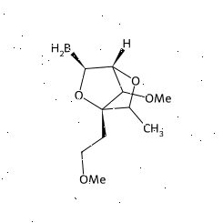 B[C@@H]1O[C@@]2(CCOC)C(C)O[C@@H]1C2OC